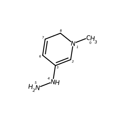 CN1C=C(NN)C=CC1